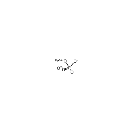 O=P([O-])([O-])[O-].[Fe+5].[O-2]